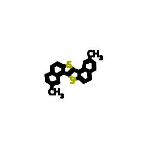 Cc1ccc2ccc3sc4c(sc5ccc6ccc(C)cc6c54)c3c2c1